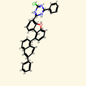 Clc1nc(-c2ccccc2)nc(-c2cccc3c2oc2cccc(-c4cccc5cc(-c6ccccc6)ccc45)c23)n1